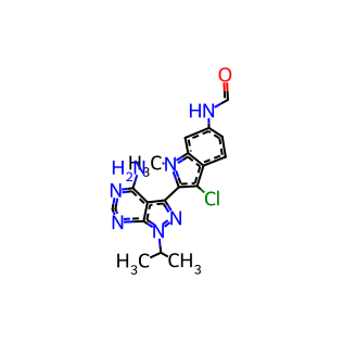 CC(C)n1nc(-c2c(Cl)c3ccc(NC=O)cc3n2C)c2c(N)ncnc21